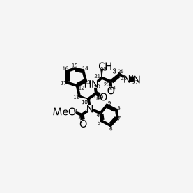 COC(=O)N(c1ccccc1)[C@@H](Cc1ccccc1)C(=O)N[C@@H](C)/C([O-])=C/[N+]#N